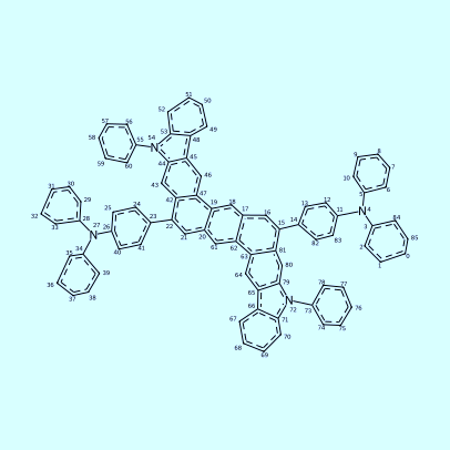 c1ccc(N(c2ccccc2)c2ccc(-c3cc4cc5c(cc(-c6ccc(N(c7ccccc7)c7ccccc7)cc6)c6cc7c(cc65)c5ccccc5n7-c5ccccc5)cc4c4cc5c6ccccc6n(-c6ccccc6)c5cc34)cc2)cc1